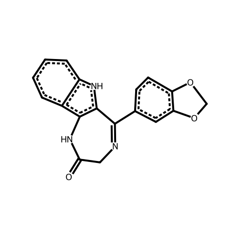 O=C1CN=C(c2ccc3c(c2)OCO3)c2[nH]c3ccccc3c2N1